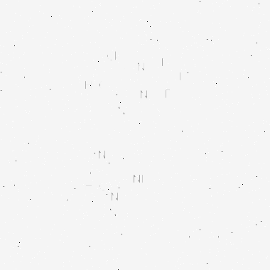 Cc1c(Cl)nc(C(F)(F)F)nc1N1CCc2ncc(Nc3ccnn3C)cc2C1